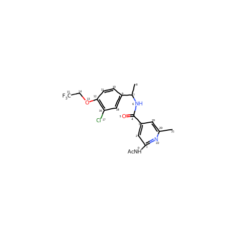 CC(=O)Nc1cc(C(=O)NC(C)c2ccc(OCC(F)(F)F)c(Cl)c2)cc(C)n1